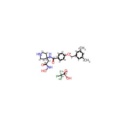 Cc1cc(C)cc(COc2ccc(C(=O)NC3(CC(=O)NO)CCNCC3)cc2)c1.O=C(O)C(F)(F)F